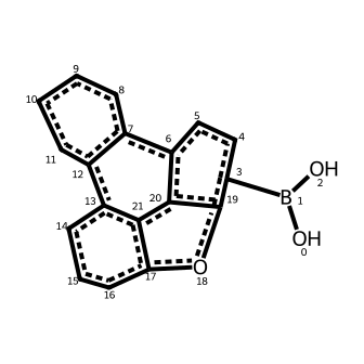 OB(O)c1ccc2c3ccccc3c3cccc4oc1c2c43